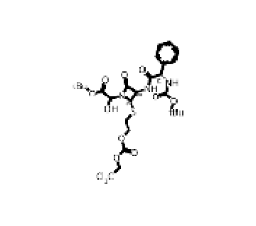 CC(C)(C)OC(=O)N[C@H](C(=O)N[C@@H]1C(=O)N(C(O)C(=O)OC(C)(C)C)[C@@H]1SCCOC(=O)OCC(Cl)(Cl)Cl)c1ccccc1